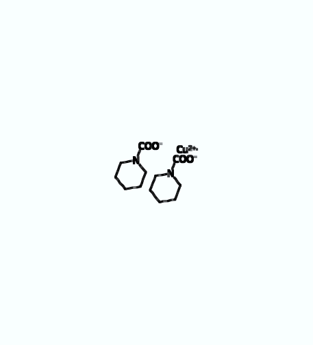 O=C([O-])N1CCCCC1.O=C([O-])N1CCCCC1.[Cu+2]